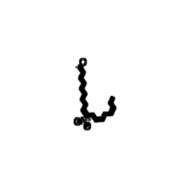 CC/C=C\C/C=C\C/C(=C\CCCCCCC[C]=O)[N+](=O)[O-]